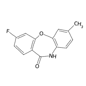 Cc1ccc2c(c1)Oc1cc(F)ccc1C(=O)N2